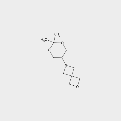 CC1(C)OCC(N2CC3(COC3)C2)CO1